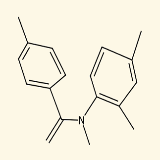 C=C(c1ccc(C)cc1)N(C)c1ccc(C)cc1C